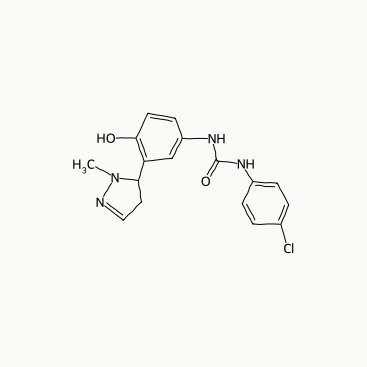 CN1N=CCC1c1cc(NC(=O)Nc2ccc(Cl)cc2)ccc1O